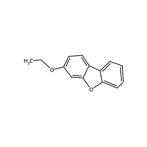 [CH2]COc1ccc2c(c1)oc1ccccc12